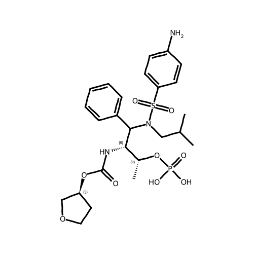 CC(C)CN(C(c1ccccc1)[C@@H](NC(=O)O[C@H]1CCOC1)[C@@H](C)OP(=O)(O)O)S(=O)(=O)c1ccc(N)cc1